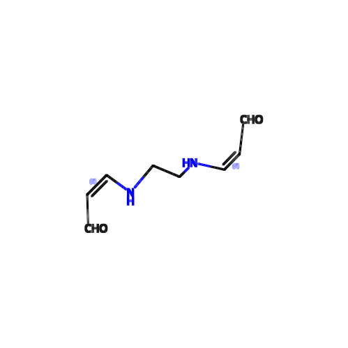 O=C/C=C\NCCN/C=C\C=O